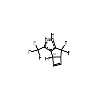 FC(F)(F)c1n[nH]c2c1[C@H]1C=CC1C2(F)F